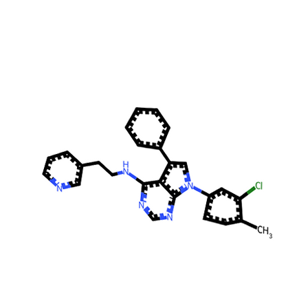 Cc1ccc(-n2cc(-c3ccccc3)c3c(NCCc4cccnc4)ncnc32)cc1Cl